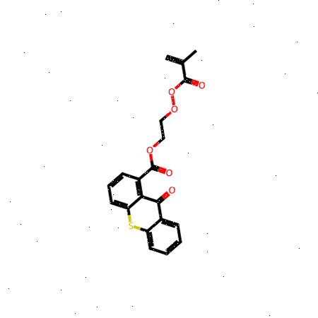 C=C(C)C(=O)OOCCOC(=O)c1cccc2sc3ccccc3c(=O)c12